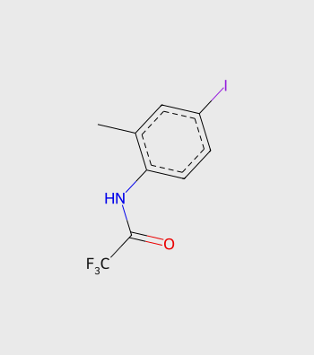 Cc1cc(I)ccc1NC(=O)C(F)(F)F